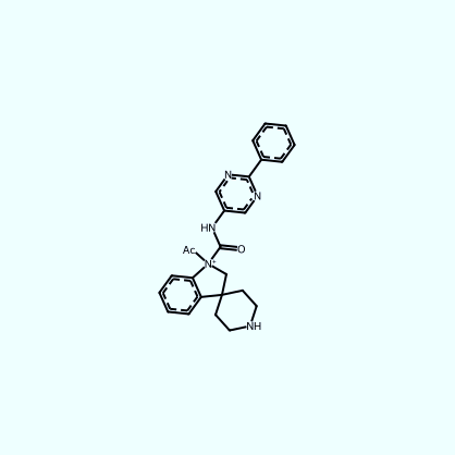 CC(=O)[N+]1(C(=O)Nc2cnc(-c3ccccc3)nc2)CC2(CCNCC2)c2ccccc21